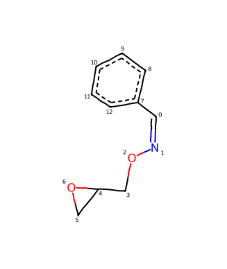 C(=N/OCC1CO1)/c1ccccc1